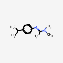 C/C(=N\c1ccc(C(C)C)cc1)N(C)C